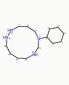 C1CCC(N2CCCNNCCCCNC2)CC1